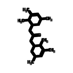 CC1=CC(C)CC(CC(=O)CC2CC(C)C=C(C)C2C)C1C